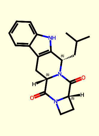 CC(C)C[C@H]1c2[nH]c3ccccc3c2C[C@H]2C(=O)N3CC[C@H]3C(=O)N21